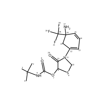 CC(C)(C)NC(=O)OC1SCN(C2=CC=CC(N)(C(F)(F)F)C2)C1=O